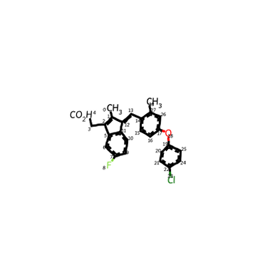 CC1=C(CC(=O)O)c2cc(F)ccc2/C1=C\c1ccc(Oc2ccc(Cl)cc2)cc1C